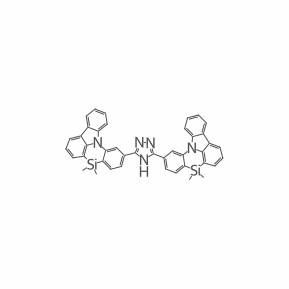 C[Si]1(C)c2ccc(-c3nnc(-c4ccc5c(c4)-n4c6ccccc6c6cccc(c64)[Si]5(C)C)[nH]3)cc2-n2c3ccccc3c3cccc1c32